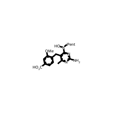 CCCC(C)N(O)c1nc(N)nc(C)c1Cc1ccc(C(=O)O)cc1OC